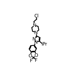 CC(C)c1cc(N2CCN(CCCl)CC2)nn1-c1ccc2c(c1)OC(F)(F)O2